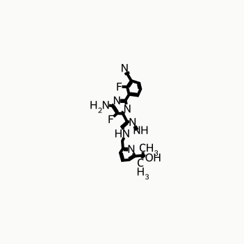 CC(C)(O)c1cccc(CN/C=C(\N=N)c2nc(-c3cccc(C#N)c3F)nc(N)c2F)n1